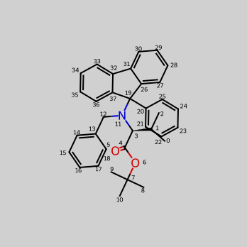 CC(C)[C@@H](C(=O)OC(C)(C)C)N(Cc1ccccc1)C1(c2ccccc2)c2ccccc2-c2ccccc21